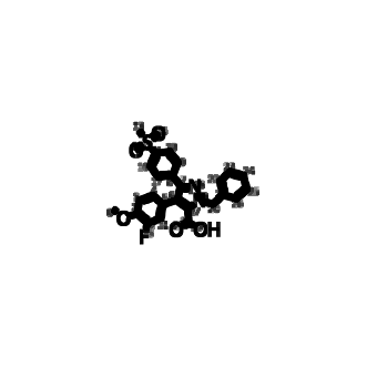 COc1ccc(-c2c(-c3ccc(S(C)(=O)=O)cc3)nn(Cc3ccccc3)c2C(=O)O)cc1F